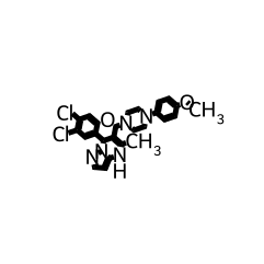 COc1ccc(N2CCN(C(=O)C3=C(C)Nc4ccnn4C3c3ccc(Cl)c(Cl)c3)CC2)cc1